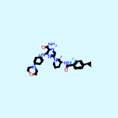 C[C@@H]1[C@H](NC(=O)c2ccc(C3CC3)cc2F)CCCN1c1cnc(C(N)=O)c(Nc2ccc(N3CCOCC3)cc2)n1